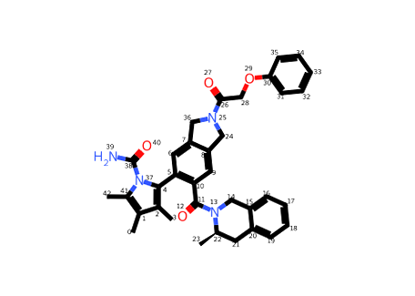 Cc1c(C)c(-c2cc3c(cc2C(=O)N2Cc4ccccc4C[C@H]2C)CN(C(=O)COc2ccccc2)C3)n(C(N)=O)c1C